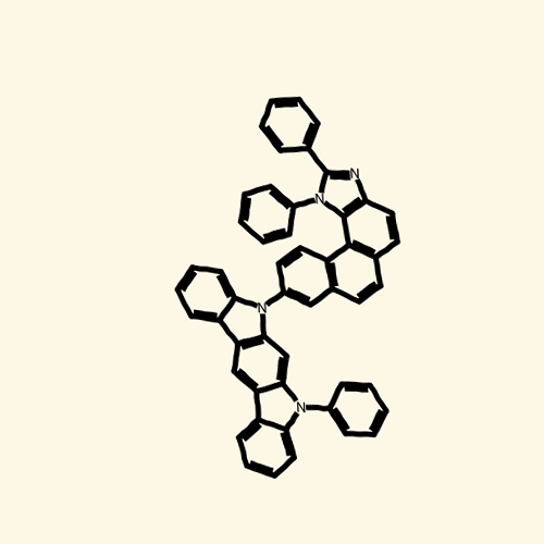 c1ccc(-c2nc3ccc4ccc5cc(-n6c7ccccc7c7cc8c9ccccc9n(-c9ccccc9)c8cc76)ccc5c4c3n2-c2ccccc2)cc1